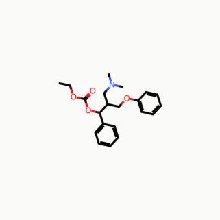 CCOC(=O)OC(c1ccccc1)C(COc1ccccc1)CN(C)C